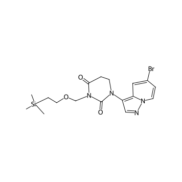 C[Si](C)(C)CCOCN1C(=O)CCN(c2cnn3ccc(Br)cc23)C1=O